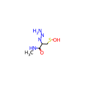 CNC(=O)C(CSO)N=NN